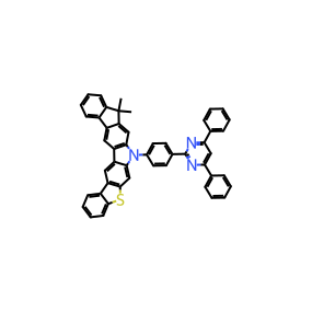 CC1(C)c2ccccc2-c2cc3c4cc5c(cc4n(-c4ccc(-c6nc(-c7ccccc7)cc(-c7ccccc7)n6)cc4)c3cc21)sc1ccccc15